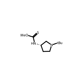 COC(=S)N[C@H]1CCN(C(C)(C)C)C1